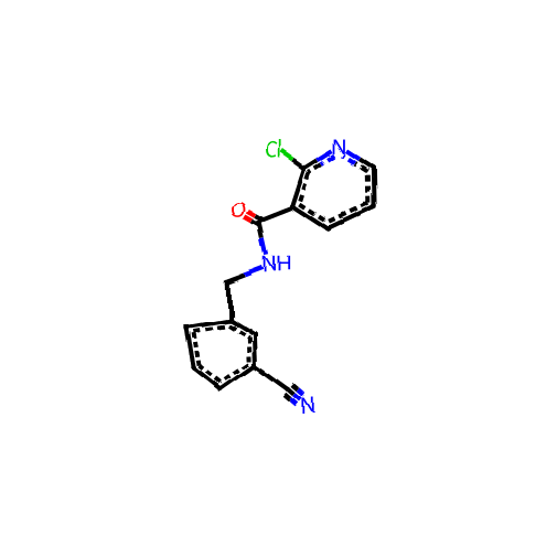 N#Cc1cccc(CNC(=O)c2cccnc2Cl)c1